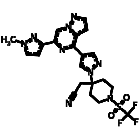 Cn1ccc(-c2cn3nccc3c(-c3cnn(C4(CC#N)CCN(S(=O)(=O)C(F)(F)F)CC4)c3)n2)n1